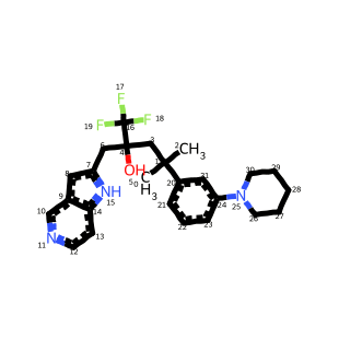 CC(C)(CC(O)(Cc1cc2cnccc2[nH]1)C(F)(F)F)c1cccc(N2CCCCC2)c1